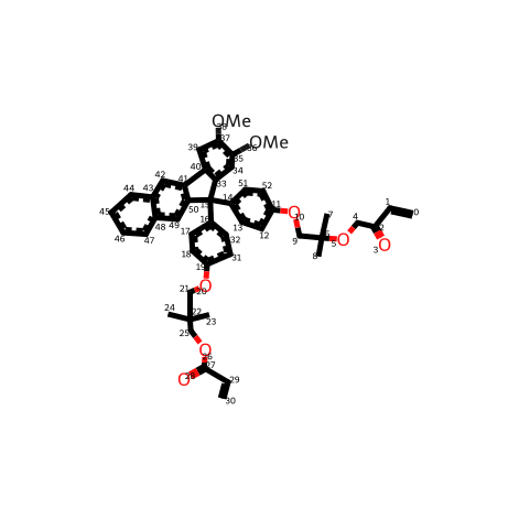 C=CC(=O)COC(C)(C)COc1ccc(C2(c3ccc(OCC(C)(C)COC(=O)C=C)cc3)c3cc(OC)c(OC)cc3-c3cc4ccccc4cc32)cc1